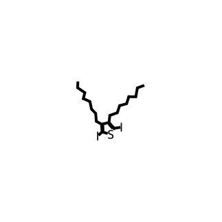 CCCCCCCCc1c(I)sc(I)c1CCCCCCCC